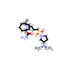 CN(C)[C@@H]1CCN(S(=O)(=O)CCCN2[C@@H]3C[CH]C[C@@]2(C(N)=O)CC3)C1